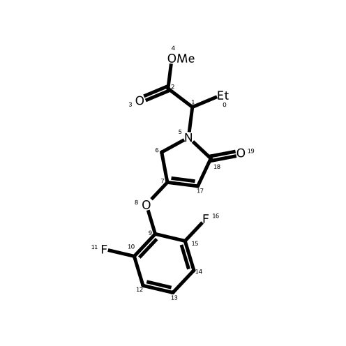 CCC(C(=O)OC)N1CC(Oc2c(F)cccc2F)=CC1=O